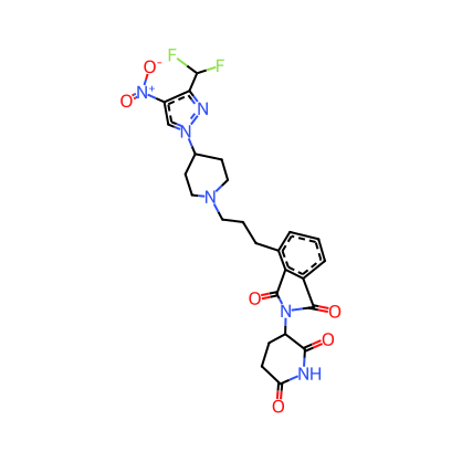 O=C1CCC(N2C(=O)c3cccc(CCCN4CCC(n5cc([N+](=O)[O-])c(C(F)F)n5)CC4)c3C2=O)C(=O)N1